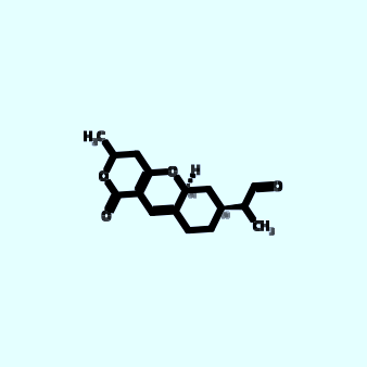 CC1CC2=C(C=C3CC[C@H](C(C)C=O)C[C@@H]3O2)C(=O)O1